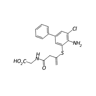 C=C(CC(=O)NCC(=O)O)Sc1cc(-c2ccccc2)cc(Cl)c1N